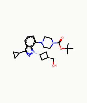 CC(C)(C)OC(=O)N1CCN(c2cccc3c(C4CC4)nn([C@H]4C[C@H](CO)C4)c23)CC1